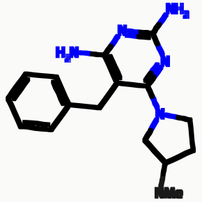 CNC1CCN(c2nc(N)nc(N)c2Cc2ccccc2)C1